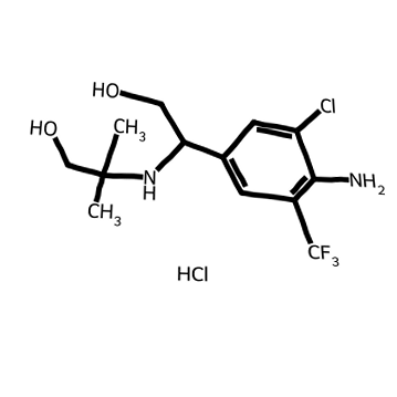 CC(C)(CO)NC(CO)c1cc(Cl)c(N)c(C(F)(F)F)c1.Cl